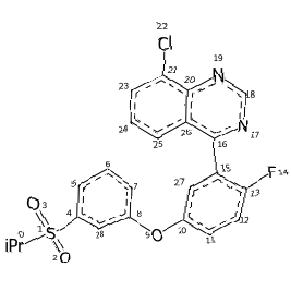 CC(C)S(=O)(=O)c1cccc(Oc2ccc(F)c(-c3ncnc4c(Cl)cccc34)c2)c1